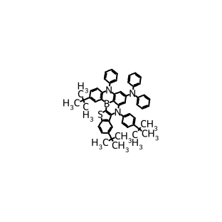 CC(C)(C)c1ccc(N2c3cc(N(c4ccccc4)c4ccccc4)cc4c3B(c3cc(C(C)(C)C)ccc3N4c3ccccc3)c3sc4ccc(C(C)(C)C)cc4c32)cc1